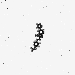 CC(C)Oc1ccc(CCc2nc3ncc(-c4ccco4)cc3[nH]2)cc1